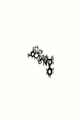 O=C(NC1CCc2cc(F)cc(F)c2NC1=O)c1nc2n(n1)C(c1ccccc1)CC2F